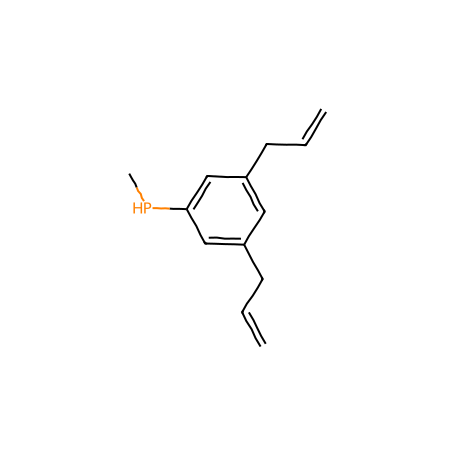 C=CCc1cc(CC=C)cc(PC)c1